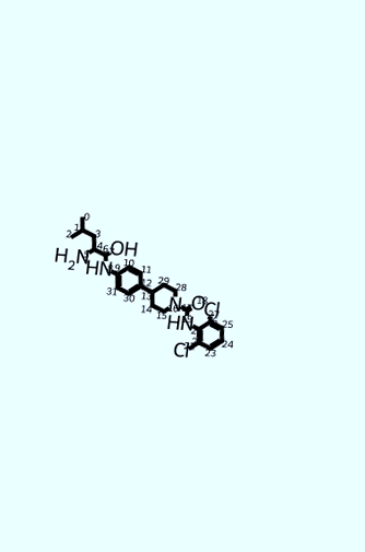 CC(C)CC(N)C(O)Nc1ccc(C2CCN(C(=O)Nc3c(Cl)cccc3Cl)CC2)cc1